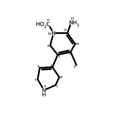 CC1=C(C2=CCNCC2)CN(C(=O)O)C(N)=C1